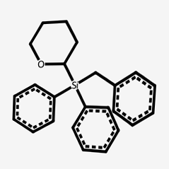 c1ccc(C[Si](c2ccccc2)(c2ccccc2)C2CCCCO2)cc1